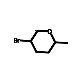 CC1CCC(Br)[CH]O1